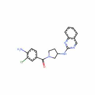 Nc1ccc(C(=O)N2CCC(Nc3ncc4ccccc4n3)C2)cc1Cl